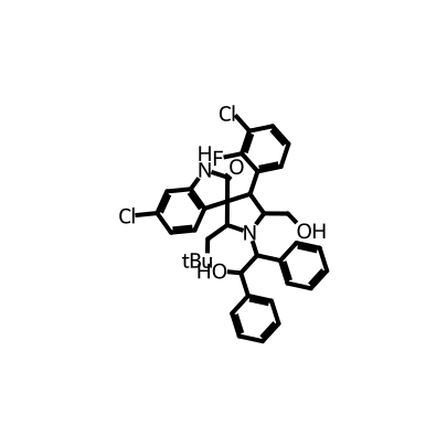 CC(C)(C)CC1N(C(c2ccccc2)C(O)c2ccccc2)C(CO)C(c2cccc(Cl)c2F)C12C(=O)Nc1cc(Cl)ccc12